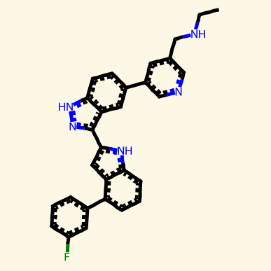 CCNCc1cncc(-c2ccc3[nH]nc(-c4cc5c(-c6cccc(F)c6)cccc5[nH]4)c3c2)c1